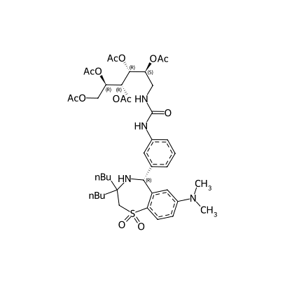 CCCCC1(CCCC)CS(=O)(=O)c2ccc(N(C)C)cc2[C@@H](c2cccc(NC(=O)NC[C@H](OC(C)=O)[C@@H](OC(C)=O)[C@H](OC(C)=O)[C@@H](COC(C)=O)OC(C)=O)c2)N1